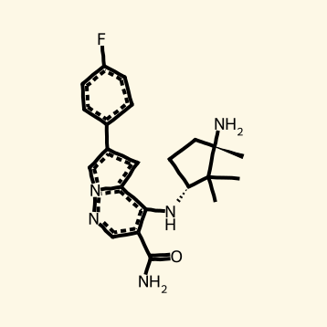 CC1(C)[C@H](Nc2c(C(N)=O)cnn3cc(-c4ccc(F)cc4)cc23)CC[C@]1(C)N